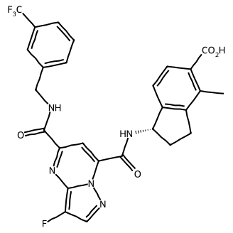 Cc1c(C(=O)O)ccc2c1CC[C@@H]2NC(=O)c1cc(C(=O)NCc2cccc(C(F)(F)F)c2)nc2c(F)cnn12